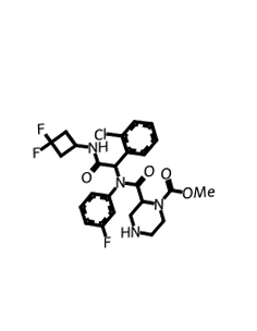 COC(=O)N1CCNCC1C(=O)N(c1cccc(F)c1)C(C(=O)NC1CC(F)(F)C1)c1ccccc1Cl